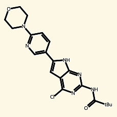 CC(C)(C)C(=O)Nc1nc(Cl)c2cc(-c3ccc(N4CCOCC4)nc3)[nH]c2n1